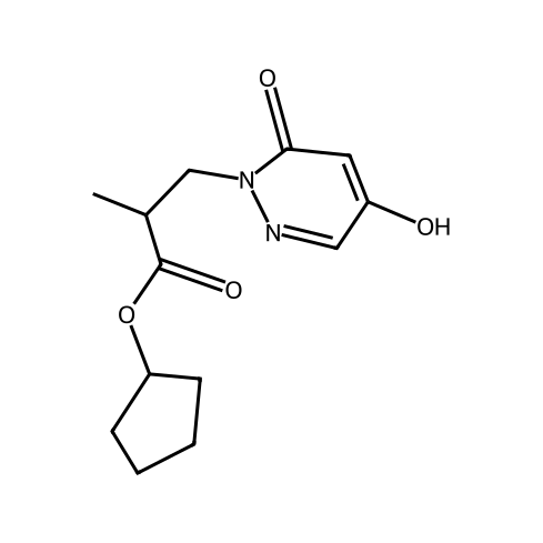 CC(Cn1ncc(O)cc1=O)C(=O)OC1CCCC1